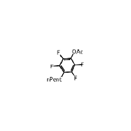 CCCCCc1c(F)c(F)c(OC(C)=O)c(F)c1F